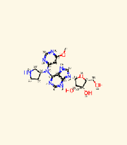 COc1cc(N(c2ncnc3c2ncn3[C@@H]2O[C@H](CO)[C@H](O)[C@@H]2O)[C@H]2CCNC2)ncn1